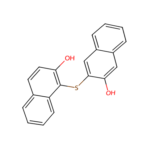 Oc1cc2ccccc2cc1Sc1c(O)ccc2ccccc12